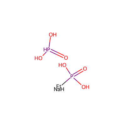 CCP(=O)(O)O.O=[PH](O)O.[NaH]